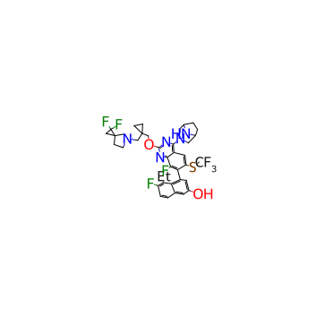 CCc1c(F)ccc2cc(O)cc(-c3c(SC(F)(F)F)cc4c(N5CC6CCC(C5)N6)nc(OCC5(CN6CCC7(C6)CC7(F)F)CC5)nc4c3F)c12